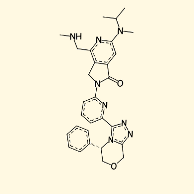 CNCc1nc(N(C)C(C)C)cc2c1CN(c1cccc(-c3nnc4n3[C@@H](c3ccccc3)COC4)n1)C2=O